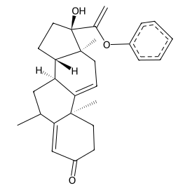 C=C(Oc1ccccc1)[C@@]1(O)CC[C@H]2[C@@H]3CC(C)C4=CC(=O)CC[C@]4(C)C3=CC[C@@]21C